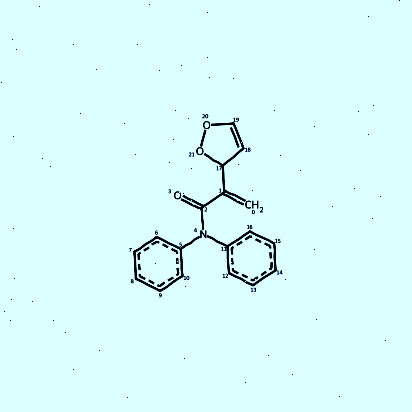 C=C(C(=O)N(c1ccccc1)c1ccccc1)C1C=COO1